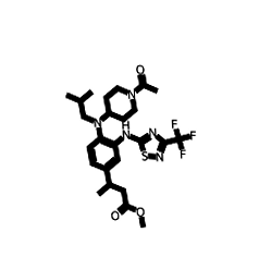 COC(=O)CC(C)c1ccc(N(CC(C)C)C2CCN(C(C)=O)CC2)c(Nc2nc(C(F)(F)F)ns2)c1